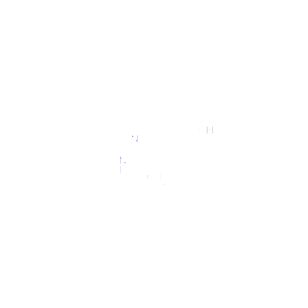 [CH2]C(c1ccc(C)cc1)c1nc2ccccc2[nH]1